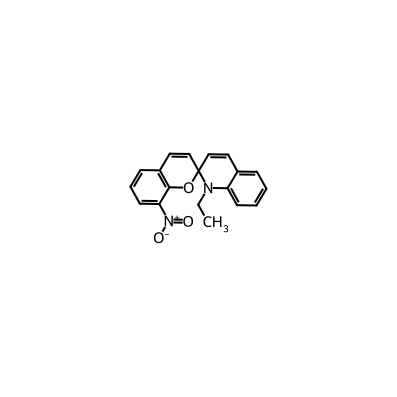 CCN1c2ccccc2C=CC12C=Cc1cccc([N+](=O)[O-])c1O2